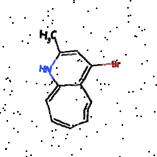 CC1=CC(Br)=C2C=CC=CC=C2N1